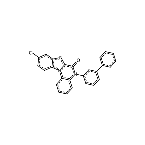 O=c1c2nc3cc(Cl)ccc3n2c2ccccc2n1-c1cccc(-c2ccccc2)c1